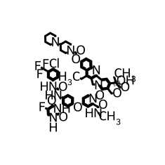 CCc1c2c(nc3ccc(OC(=O)N4CCC(N5CCCCC5)CC4)cc13)-c1cc3c(c(=O)n1C2)COC(=O)[C@]3(O)CC.CNC(=O)c1cc(Oc2ccc(NC(=O)Nc3ccc(Cl)c(C(F)(F)F)c3)cc2)ccn1.O=c1[nH]cc(F)c(=O)[nH]1